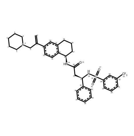 C=C(CN1CCCCC1)c1ccc2c(c1)CCC[C@H]2NC(=O)C[C@@H](NS(=O)(=O)c1cccc(C(F)(F)F)c1)c1ccccc1